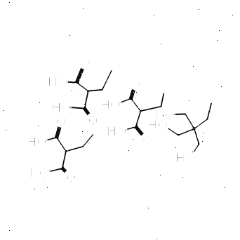 CCC(C(=O)O)C(=O)O.CCC(C(=O)O)C(=O)O.CCC(C(=O)O)C(=O)O.CCC(CO)(CO)CO